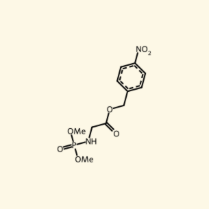 COP(=O)(NCC(=O)OCc1ccc([N+](=O)[O-])cc1)OC